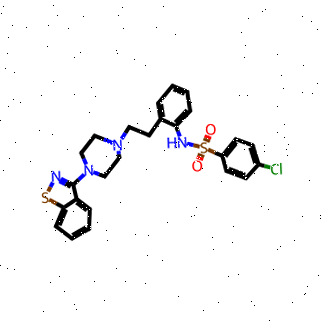 O=S(=O)(Nc1ccccc1CCN1CCN(c2nsc3ccccc23)CC1)c1ccc(Cl)cc1